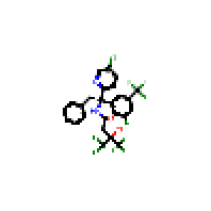 O=C(CC(O)(C(F)(F)F)C(F)(F)F)N[C@@](Cc1ccccc1)(c1cc(F)cc(C(F)(F)F)c1)c1ccc(Cl)cn1